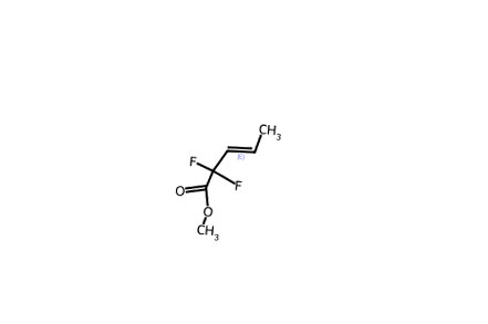 C/C=C/C(F)(F)C(=O)OC